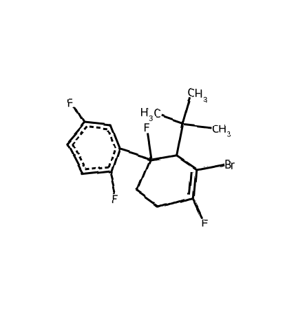 CC(C)(C)C1C(Br)=C(F)CCC1(F)c1cc(F)ccc1F